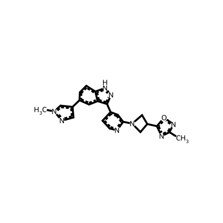 Cc1noc(C2CN(c3cc(-c4n[nH]c5ccc(-c6cnn(C)c6)cc45)ccn3)C2)n1